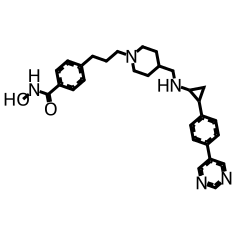 O=C(NO)c1ccc(CCCN2CCC(CNC3CC3c3ccc(-c4cncnc4)cc3)CC2)cc1